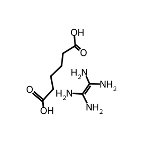 NC(N)=C(N)N.O=C(O)CCCCC(=O)O